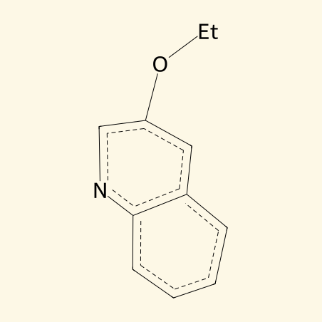 CCOc1cnc2ccccc2c1